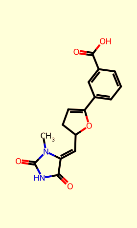 CN1C(=O)NC(=O)/C1=C/C1CC=C(c2cccc(C(=O)O)c2)O1